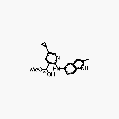 CO[C@H](O)c1cc(C2CC2)cnc1Nc1ccc2[nH]c(C)cc2c1